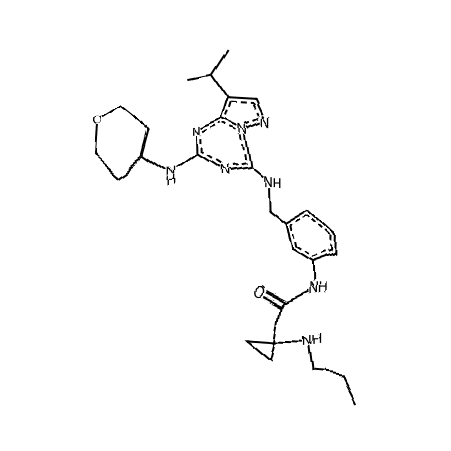 CCCNC1(C(=O)Nc2cccc(CNc3nc(NC4CCOCC4)nc4c(C(C)C)cnn34)c2)CC1